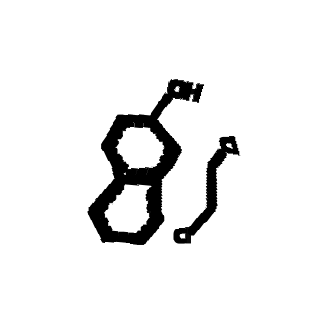 ClCCCl.Oc1ccc2ccccc2c1